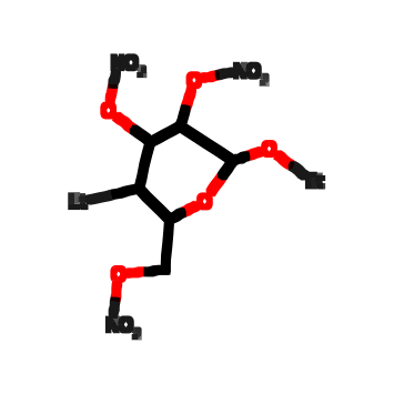 CCOC1OC(CO[N+](=O)[O-])C(CC)C(O[N+](=O)[O-])C1O[N+](=O)[O-]